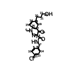 Cn1nc(C(=O)NCc2ccc(Cl)cc2)c(=O)c2cc(CCCO)ccc21